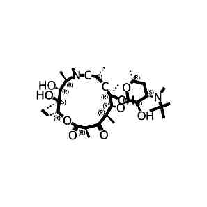 CC[C@H]1OC(=O)[C@H](C)C(=O)[C@H](C)[C@@H](O[C@@H]2O[C@H](C)C[C@H](N(C)C(C)(C)C)[C@H]2O)[C@](C)(O)C[C@@H](C)CN(C)[C@H](C)[C@@H](O)[C@]1(C)O